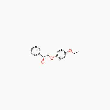 CCOc1ccc(OCC(=O)c2ccccc2)cc1